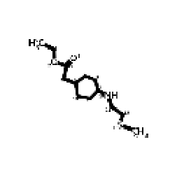 CCOC(=O)CC1CCC(NCCSC)CC1